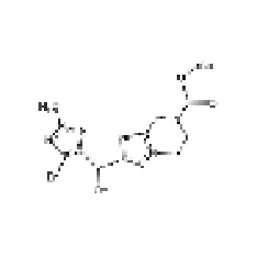 Cn1nc(Br)c(C(O)c2cc3n(n2)CCN(C(=O)OC(C)(C)C)C3)n1